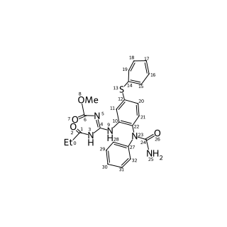 CCC(=O)NC(=NC(=O)OC)Nc1cc(Sc2ccccc2)ccc1N(C(N)=O)c1ccccc1